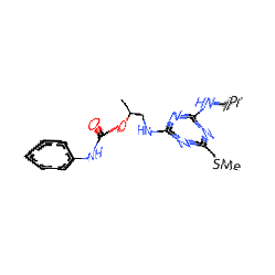 CSc1nc(NCC(C)OC(=O)Nc2ccccc2)nc(NC(C)C)n1